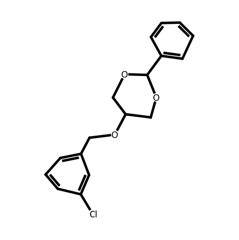 Clc1cccc(COC2COC(c3ccccc3)OC2)c1